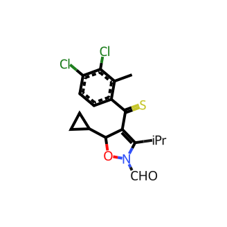 Cc1c(C(=S)C2=C(C(C)C)N(C=O)OC2C2CC2)ccc(Cl)c1Cl